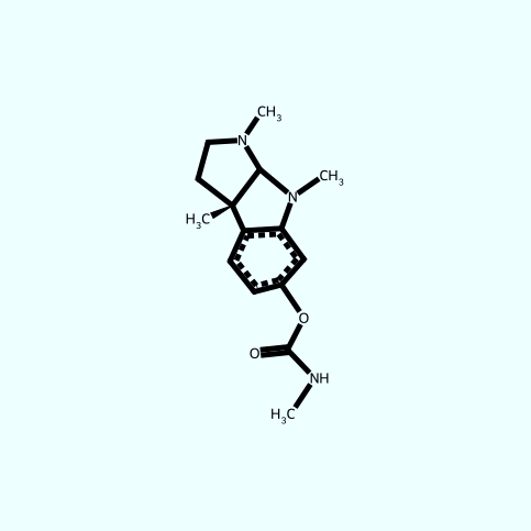 CNC(=O)Oc1ccc2c(c1)N(C)C1N(C)CC[C@@]21C